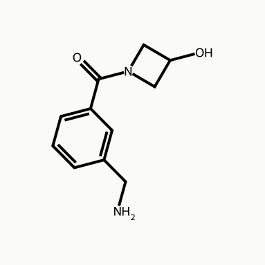 NCc1cccc(C(=O)N2CC(O)C2)c1